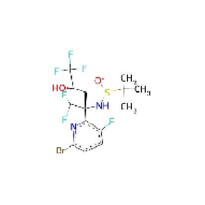 CC(C)(C)[S@@+]([O-])N[C@](C[C@@H](O)C(F)(F)F)(c1nc(Br)ccc1F)C(F)F